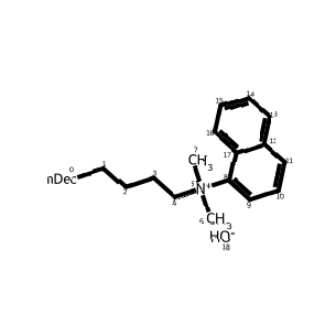 CCCCCCCCCCCCCC[N+](C)(C)c1cccc2ccccc12.[OH-]